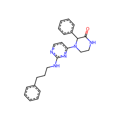 O=C1NCCN(c2ccnc(NCCCc3ccccc3)n2)C1c1ccccc1